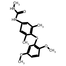 CNC(=O)Nc1cc(C)c(Sc2cc(OC)ccc2OC)c(C)c1